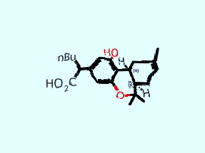 CCCCC(C(=O)O)c1cc(O)c2c(c1)OC(C)(C)[C@@H]1CC=C(C)C[C@@H]21